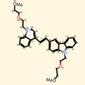 COCCOCCn1c2ccccc2c2cc(/C=C/c3cc[n+](CCOCCOC)c4ccccc34)ccc21